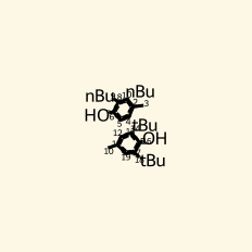 CCCCc1c(C)ccc(O)c1CCCC.Cc1cc(C(C)(C)C)c(O)c(C(C)(C)C)c1